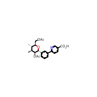 CC(=O)OC[C@H]1O[C@H](c2cccc(-c3ccc(C(=O)O)cn3)c2)[C@@H](OC(C)=O)[C@@H](C)[C@@H]1C